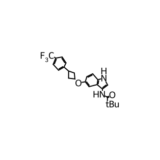 CC(C)(C)C(=O)Nc1c[nH]c2ccc(OC3CC(c4ccc(C(F)(F)F)cc4)C3)cc12